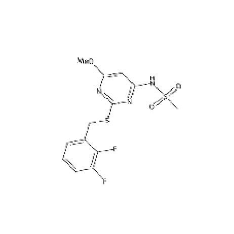 COc1cc(NS(C)(=O)=O)nc(SCc2cccc(F)c2F)n1